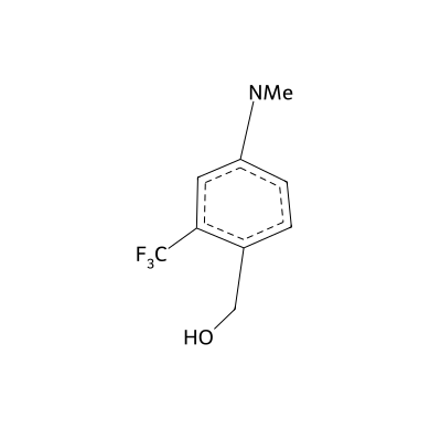 CNc1ccc(CO)c(C(F)(F)F)c1